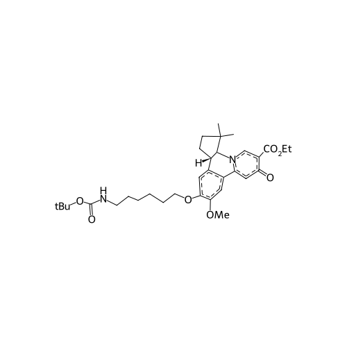 CCOC(=O)c1cn2c(cc1=O)-c1cc(OC)c(OCCCCCCNC(=O)OC(C)(C)C)cc1[C@@H]1CCC(C)(C)C12